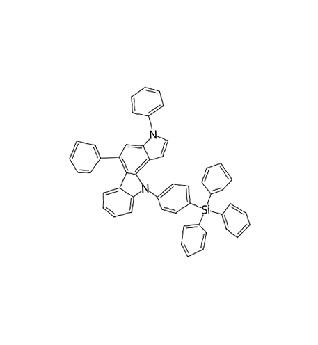 c1ccc(-c2cc3c(ccn3-c3ccccc3)c3c2c2ccccc2n3-c2ccc([Si](c3ccccc3)(c3ccccc3)c3ccccc3)cc2)cc1